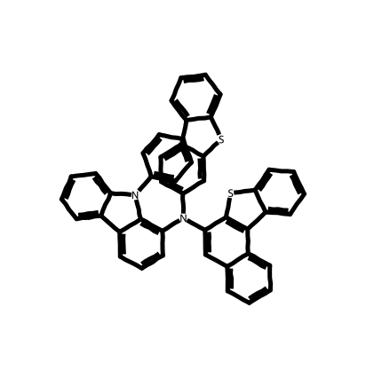 c1ccc(-n2c3ccccc3c3cccc(N(c4ccc5c(c4)sc4ccccc45)c4cc5ccccc5c5c4sc4ccccc45)c32)cc1